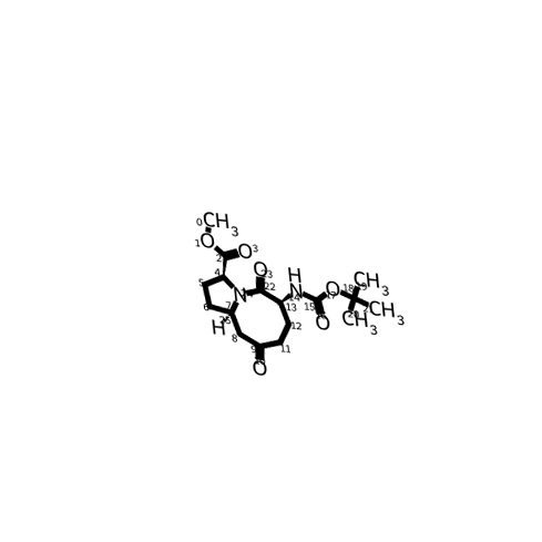 COC(=O)[C@@H]1CC[C@@H]2CC(=O)CC[C@H](NC(=O)OC(C)(C)C)C(=O)N21